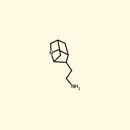 NCCC1C2CC3CC1N(C3)C2